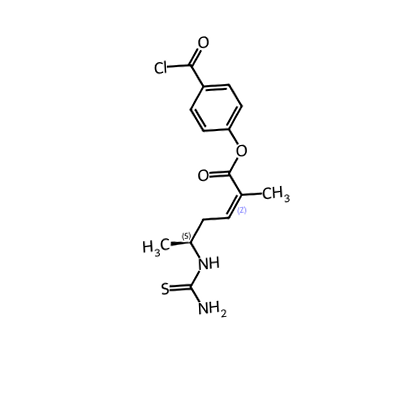 C/C(=C/C[C@H](C)NC(N)=S)C(=O)Oc1ccc(C(=O)Cl)cc1